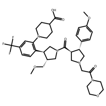 COC[C@H]1CN(C(=O)[C@@H]2CN(CC(=O)N3CCOCC3)C[C@H]2c2ccc(OC)cc2)C[C@@H]1c1ccc(C(F)(F)F)cc1N1CCC(C(=O)O)CC1